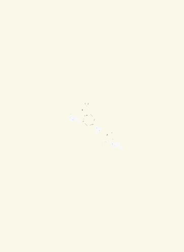 CO[C@H](c1ccc(N2C[C@@H]3[C@@H](N)[C@@H]3C2)cc1)[C@H](N)CF